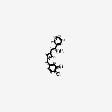 OC(CC1CN(Cc2ccc(Cl)c(Cl)c2)C1)c1cccnc1